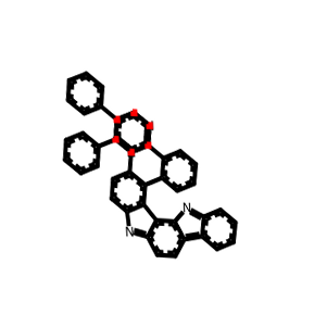 c1ccc(-c2cnc(-c3ccccc3-c3c(-c4ccccc4)ccc4c3-c3c5c(ccc3=N4)=c3ccccc3=N5)nc2-c2ccccc2)cc1